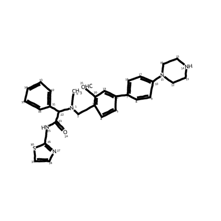 CN(Cc1ccc(-c2ccc(N3CCNCC3)cc2)cc1C=O)C(C(=O)Nc1nccs1)c1ccccc1